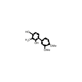 COc1[c]c(-c2ccc(O)c(C)c2O)ccc1OC